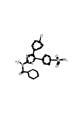 CN(C(=O)C1CCCCC1)c1nc(-c2ccc(Cl)cc2)c(-c2ccc(S(N)(=O)=O)cc2)s1